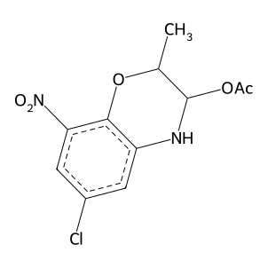 CC(=O)OC1Nc2cc(Cl)cc([N+](=O)[O-])c2OC1C